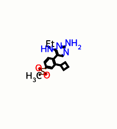 CCNc1nc(N)ncc1-c1ccc(S(C)(=O)=O)cc1C1CCC1